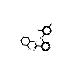 O=C(NC1CCCCC1O)c1ccncc1Nc1ccc(I)cc1F